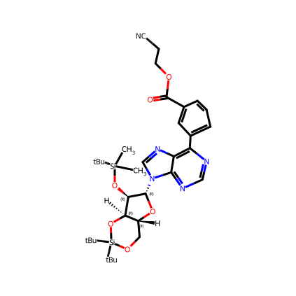 CC(C)(C)[Si](C)(C)O[C@@H]1[C@@H]2O[Si](C(C)(C)C)(C(C)(C)C)OC[C@H]2O[C@H]1n1cnc2c(-c3cccc(C(=O)OCCC#N)c3)ncnc21